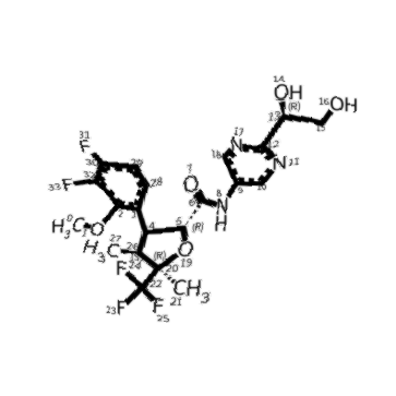 COc1c(C2[C@H](C(=O)Nc3cnc([C@@H](O)CO)nc3)O[C@@](C)(C(F)(F)F)[C@H]2C)ccc(F)c1F